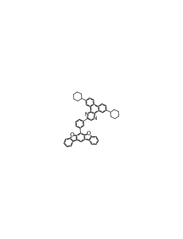 c1cc(-c2cnc3c4cc(C5CCCCC5)ccc4c4ccc(C5CCCCC5)cc4c3n2)cc(-c2c3oc4ccccc4c3cc3c2oc2ccccc23)c1